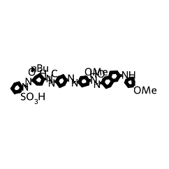 CCCCOc1cc(N=Nc2ccc(N=Nc3ccc(N=Nc4ccc5cc(Nc6ccc(OC)cc6)ccc5c4O)c(OC)c3)cc2C)ccc1N=Nc1ccccc1S(=O)(=O)O